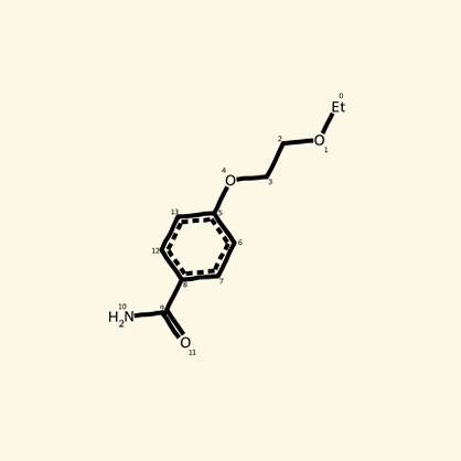 CCOCCOc1ccc(C(N)=O)cc1